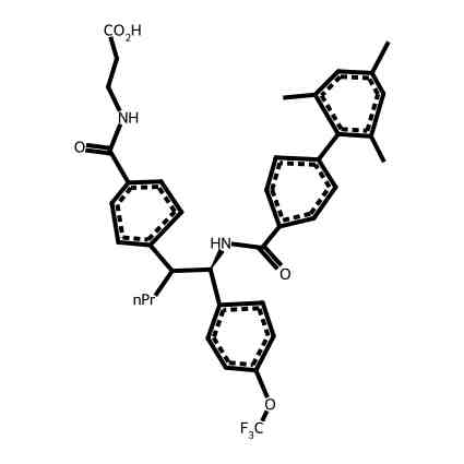 CCCC(c1ccc(C(=O)NCCC(=O)O)cc1)[C@@H](NC(=O)c1ccc(-c2c(C)cc(C)cc2C)cc1)c1ccc(OC(F)(F)F)cc1